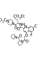 CCOC(=O)CCC(NC(=O)c1cc(OCC(=O)N2CCCC2C(=O)N2CCCC2)c2c(F)cc(C)cc2n1)C(=O)N1CCN(C(=O)OCC)CC1